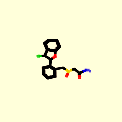 NC(=O)C[S+]([O-])Cc1ccccc1C1Oc2ccccc2C1Cl